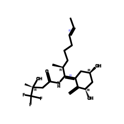 C=C1/C(=C(\NC(=O)C[C@](C)(O)C(F)(F)F)[C@@H](C)CCC/C=C/C)C[C@@H](O)C[C@@H]1O